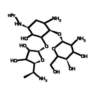 CCCN[C@@H]1CC(N)[C@@H](O[C@H]2OC(CO)[C@@H](O)C(O)C2N)C(O[C@@H]2O[C@H]([C@H](C)N)C(O)C2O)C1O